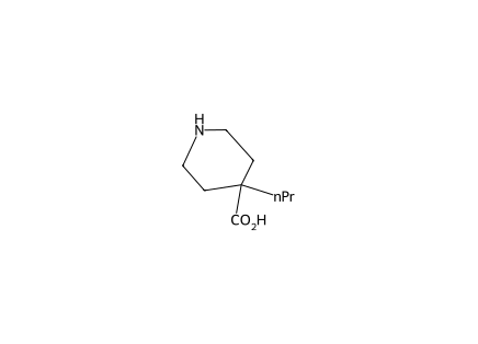 CCCC1(C(=O)O)CCNCC1